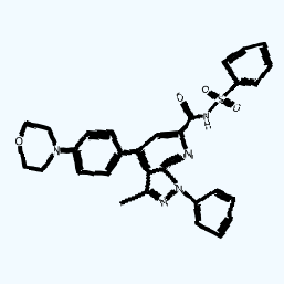 Cc1nn(-c2ccccc2)c2nc(C(=O)NS(=O)(=O)c3ccccc3)cc(-c3ccc(N4CCOCC4)cc3)c12